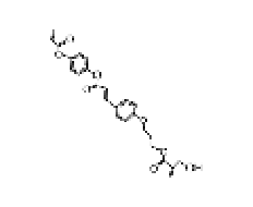 C=CC(=O)Oc1ccc(OC(=O)/C=C/c2ccc(OCCCOC(=O)C(=C)CO)cc2)cc1